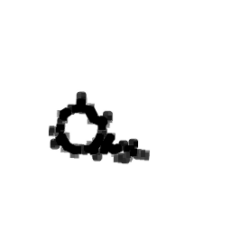 CC(C)(COP(=O)(O)O)[C@H]1OC(=O)/C=C/C(=O)SCCNC(=O)CCNC1=O